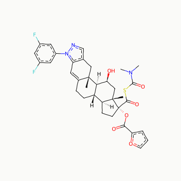 CN(C)C(=O)SC(=O)[C@@]1(OC(=O)c2ccco2)CC[C@H]2[C@@H]3CCC4=Cc5c(cnn5-c5cc(F)cc(F)c5)C[C@]4(C)[C@H]3[C@@H](O)C[C@@]21C